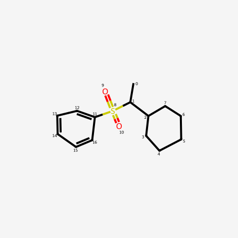 CC(C1CCCCC1)S(=O)(=O)c1ccccc1